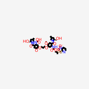 C=C1C[C@@H](CO)N(C(=O)c2cc(OC)c(OCCCOc3cc(NC(=O)OCC(C)SSc4ncccc4[N+](=O)[O-])c(C(=O)N4CC(=C)C[C@H]4CO)cc3OC)cc2NC(=O)O)C1